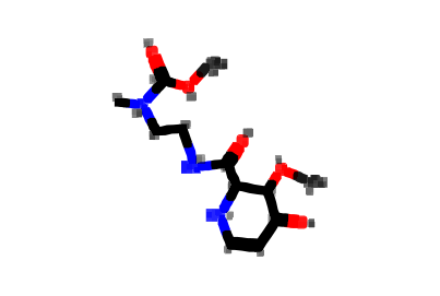 CCCCOC1C(=O)C=CNC1C(=O)NCCN(C)C(=O)OC(C)(C)C